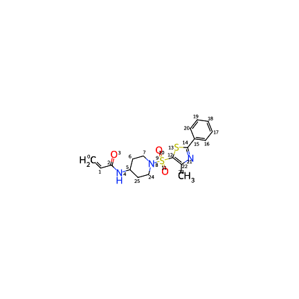 C=CC(=O)NC1CCN(S(=O)(=O)c2sc(-c3ccccc3)nc2C)CC1